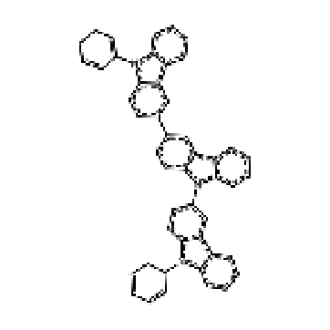 C1=CCC(n2c3ccccc3c3cc(-n4c5ccccc5c5cc(-c6ccc7c(c6)c6ccccc6n7C6=CCCC=C6)ccc54)ccc32)C=C1